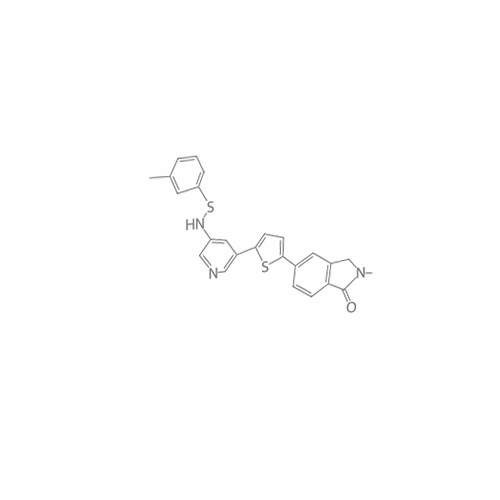 Cc1cccc(SNc2cncc(-c3ccc(-c4ccc5c(c4)CN(C)C5=O)s3)c2)c1